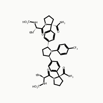 CC(C)(C)[C@H](NC(=O)O)C(=O)N1CCC[C@@]1(C(N)=O)c1ccc([C@H]2CC[C@H](c3ccc([C@]4(C(N)=O)CCCN4C(=O)[C@@H](NC(=O)O)C(C)(C)C)cc3)N2c2ccc(C(F)(F)F)cc2)cc1